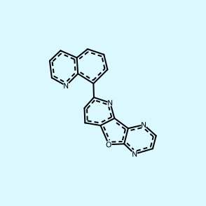 c1cnc2c(-c3ccc4oc5nccnc5c4n3)cccc2c1